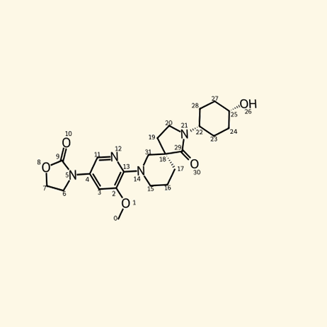 COc1cc(N2CCOC2=O)cnc1N1CCC[C@@]2(CCN([C@H]3CC[C@@H](O)CC3)C2=O)C1